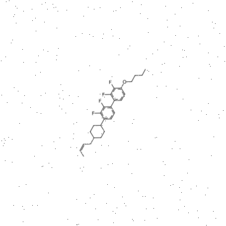 C/C=C\CC1CCC(c2ccc(-c3ccc(OCCCC)c(F)c3F)c(F)c2F)CC1